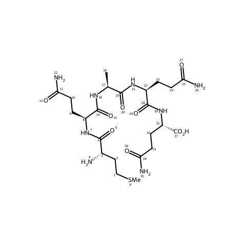 CSCC[C@H](N)C(=O)N[C@@H](CCC(N)=O)C(=O)N[C@@H](C)C(=O)N[C@@H](CCC(N)=O)C(=O)N[C@@H](CCC(N)=O)C(=O)O